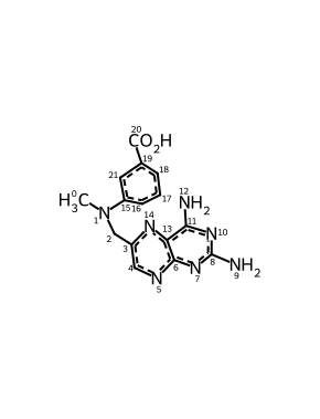 CN(Cc1cnc2nc(N)nc(N)c2n1)c1cccc(C(=O)O)c1